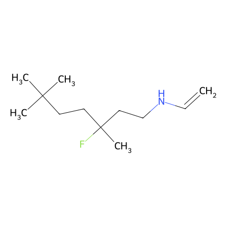 C=CNCCC(C)(F)CCC(C)(C)C